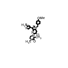 COc1ccc(Cn2nc(-c3cnn(C)c3)c3nc(N4CCN(C)C(=O)C4C)c(Cl)cc32)cc1